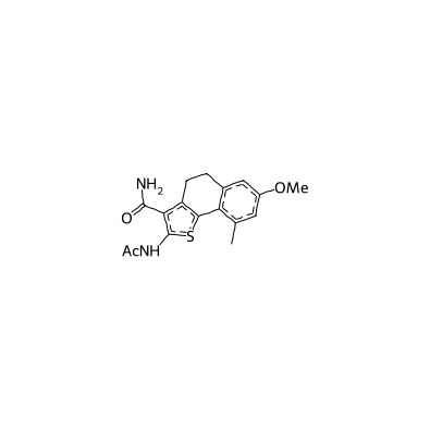 COc1cc(C)c2c(c1)CCc1c-2sc(NC(C)=O)c1C(N)=O